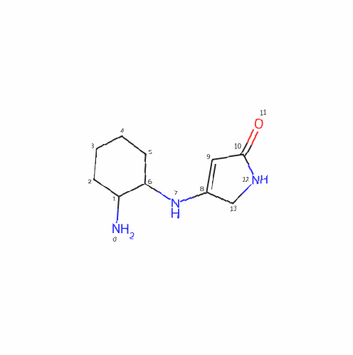 NC1CCCCC1NC1=CC(=O)NC1